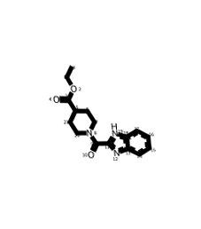 CCOC(=O)C1CCN(C(=O)c2nc3ccccc3[nH]2)CC1